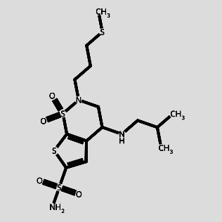 CSCCCN1CC(NCC(C)C)c2cc(S(N)(=O)=O)sc2S1(=O)=O